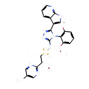 COc1cccc(OC)c1-n1c(NS(=O)(=O)[C@@H](C)[C@H](OC)c2ncc(C)cn2)nnc1-c1c[nH]c2ncccc12